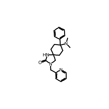 CN(C)C1(c2ccccc2)CCC2(CC1)CN(Cc1ccccn1)C(=O)N2